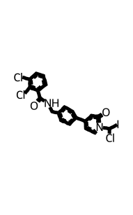 O=C(NCc1ccc(-c2ccn(C(Cl)I)c(=O)c2)cc1)c1cccc(Cl)c1Cl